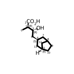 C[C@@H](C(=O)O)[C@H](O)C[C@H]1CC2CC[C@H](C2)C1